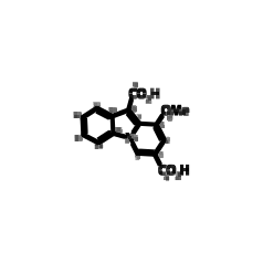 COc1cc(C(=O)O)cn2c1c(C(=O)O)c1ccccc12